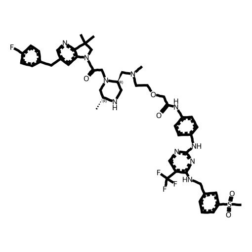 C[C@@H]1CN(CC(=O)N2CC(C)(C)c3ncc(Cc4ccc(F)cc4)cc32)[C@@H](CN(C)CCOCC(=O)Nc2ccc(Nc3ncc(C(F)(F)F)c(NCc4cccc(S(C)(=O)=O)c4)n3)cc2)CN1